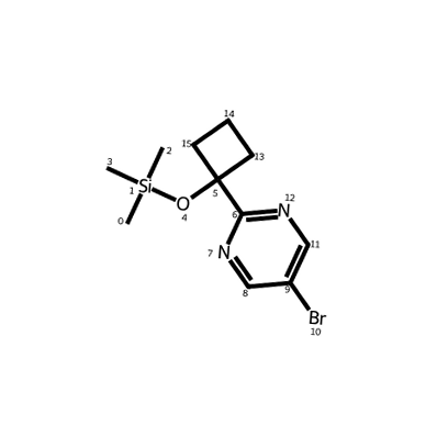 C[Si](C)(C)OC1(c2ncc(Br)cn2)CCC1